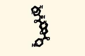 O=C(N[C@@H]1C[C@H]2CCN(C2)C1)c1cc2oc(C(=O)N3CCNCC3)cc2cn1